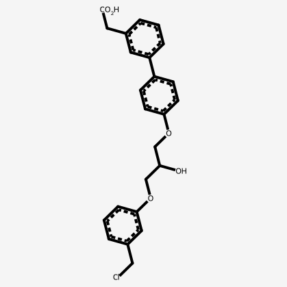 O=C(O)Cc1cccc(-c2ccc(OCC(O)COc3cccc(CCl)c3)cc2)c1